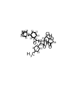 CC1CCC([C@H](NC(=O)c2cccc(-n3cnnc3)c2)C(=O)N2C[C@H](Cl)[C@H]3OCC(=O)[C@H]32)CC1